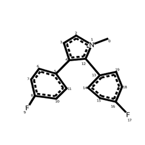 Cn1ccc(-c2ccc(F)cc2)c1-c1ccc(F)cc1